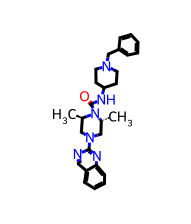 C[C@@H]1CN(c2ncc3ccccc3n2)C[C@@H](C)N1C(=O)NC1CCN(Cc2ccccc2)CC1